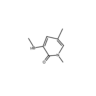 CBc1cc(C)cn(C)c1=O